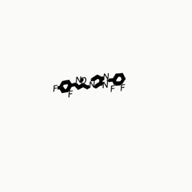 FC1=C(F)C(c2nc3ccn(Cc4cc(-c5ccc(F)cc5F)no4)cc-3n2)=CCC1